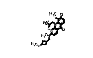 COC1CC(CN(C)c2ccc3c(=O)c4ccc(Cl)c(SC)c4n(CC(=O)[O-])c3n2)C1.[Na+]